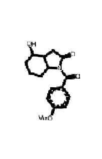 COc1ccc(C(=O)N2C(=O)CC3C(O)CCCC32)cc1